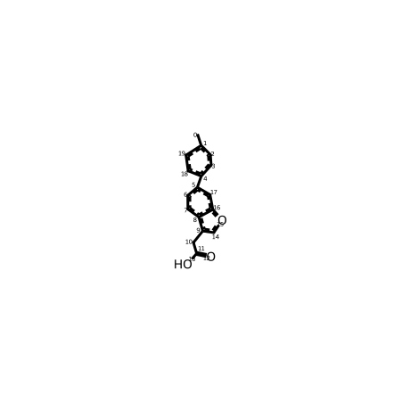 Cc1ccc(-c2ccc3c(CC(=O)O)coc3c2)cc1